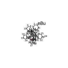 CCCCC1CCN([PH](N=O)(N2CCCC2)N(C)[PH](N2CCCC2)(N2CCC(C)CC2)N(C)P(N2CCCC2)N2CCCC2)CC1